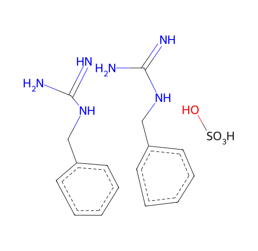 N=C(N)NCc1ccccc1.N=C(N)NCc1ccccc1.O=S(=O)(O)O